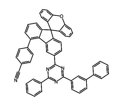 N#Cc1ccc(-c2cccc3c2-c2cc(-c4nc(-c5ccccc5)nc(-c5cccc(-c6ccccc6)c5)n4)ccc2C32c3ccccc3Oc3ccccc32)cc1